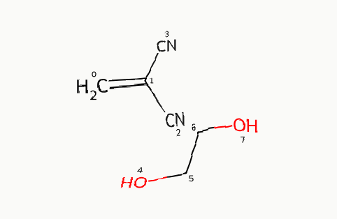 C=C(C#N)C#N.OCCO